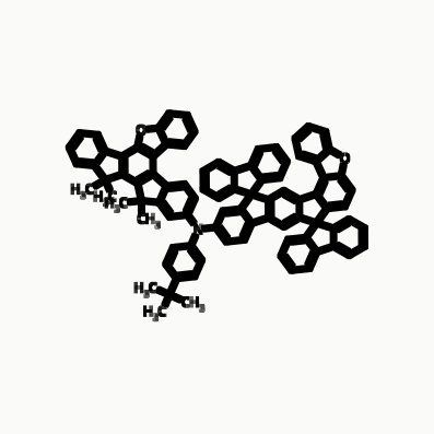 CC(C)(C)c1ccc(N(c2ccc3c(c2)C(C)(C)c2c4c(c5oc6ccccc6c5c2-3)-c2ccccc2C4(C)C)c2ccc3c(c2)C2(c4ccccc4-c4ccccc42)c2cc4c(cc2-3)C2(c3ccccc3-c3ccccc32)c2ccc3oc5ccccc5c3c2-4)cc1